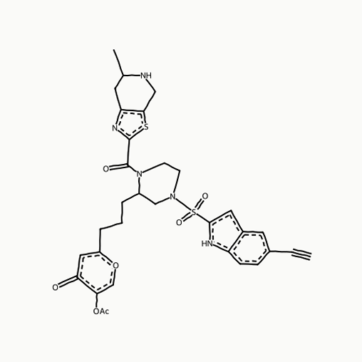 C#Cc1ccc2[nH]c(S(=O)(=O)N3CCN(C(=O)c4nc5c(s4)CNC(C)C5)C(CCCc4cc(=O)c(OC(C)=O)co4)C3)cc2c1